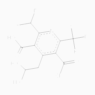 CC(C)Cc1c(C(=O)O)c(C(F)F)nc(C(F)(F)F)c1C(=O)Cl